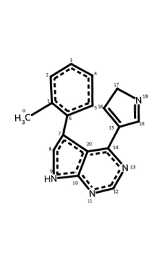 Cc1ccccc1-c1c[nH]c2ncnc(C3=CCN=C3)c12